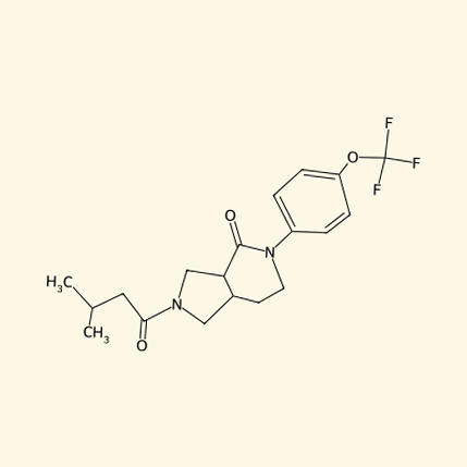 CC(C)CC(=O)N1CC2CCN(c3ccc(OC(F)(F)F)cc3)C(=O)C2C1